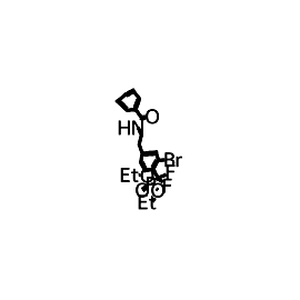 CCOP(=O)(OCC)C(F)(F)c1ccc(CCNC(=O)c2ccccc2)cc1Br